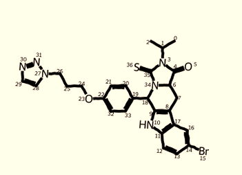 CC(C)N1C(=O)C2Cc3c([nH]c4ccc(Br)cc34)C(c3ccc(OCCCn4ccnn4)cc3)N2C1=S